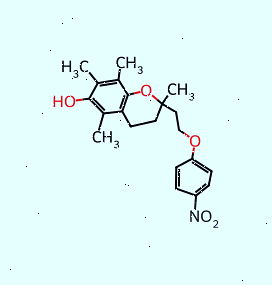 Cc1c(C)c2c(c(C)c1O)CCC(C)(CCOc1ccc([N+](=O)[O-])cc1)O2